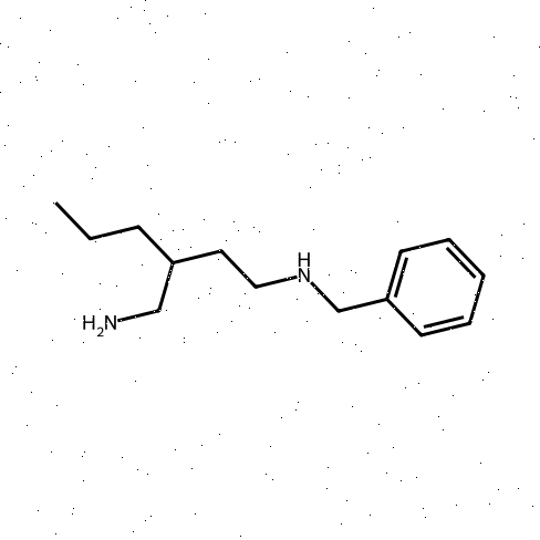 CCCC(CN)CCNCc1ccccc1